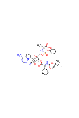 C[C@H](N[P@](=O)(OC[C@H]1O[C@@](C#N)(c2ccc3c(N)ncnn23)[C@H](O)[C@@H]1OC(=O)[C@H](NC(=O)OC(C)(C)C)c1ccccc1)Oc1ccccc1)C(=O)O